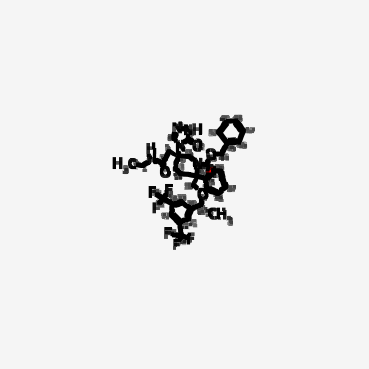 CCNC(=O)C[C@]1(n2cn[nH]c2=O)CC[C@@](CO[C@H](C)c2cc(C(F)(F)F)cc(C(F)(F)F)c2)(c2ccccc2)N(C(=O)OCc2ccccc2)C1